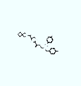 C=C(CCN(Cc1ccc(C(F)(F)F)cc1)S(=O)(=O)c1ccc(F)cc1)C1=NC[C@](C)(C(=O)N2CC3(CCC3)C2)N1